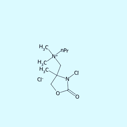 CCC[N+](C)(C)CC1(C)COC(=O)N1Cl.[Cl-]